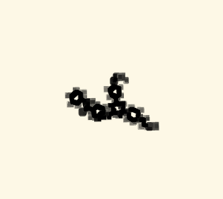 COc1ccc(-c2nc(Nc3ccc(C(=O)Nc4ccccc4)cn3)nc(N3CCN(CCO)CC3)n2)cc1